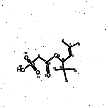 CC(C)=CC(OC(=O)CS(=O)(=O)O)C(C)(C)C